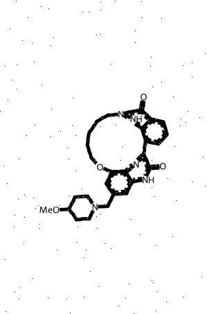 COC1CCN(Cc2cc3c4nc(c(=O)[nH]c4c2)-c2cccc4c(=O)n([nH]c24)CCCCCO3)CC1